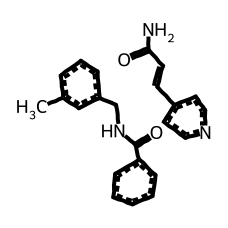 Cc1cccc(CNC(=O)c2ccccc2)c1.NC(=O)/C=C/c1ccncc1